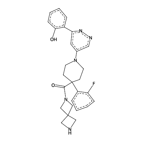 O=C(N1CC2(CNC2)C1)C1(c2ccccc2F)CCN(c2cnnc(-c3ccccc3O)c2)CC1